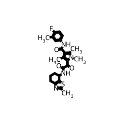 Cc1nc2c(s1)C(NC(=O)C(=O)c1c(C)c(C(=O)Nc3ccc(F)c(C)c3)c(C)n1C)CCC2